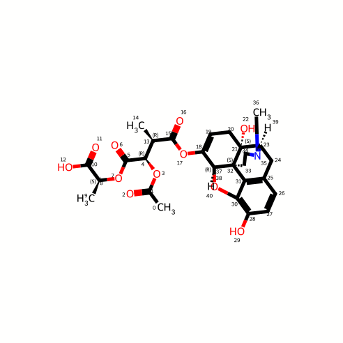 CC(=O)O[C@@H](C(=O)O[C@@H](C)C(=O)O)[C@@H](C)C(=O)OC1=CC[C@@]2(O)[C@H]3Cc4ccc(O)c5c4[C@@]2(CCN3C)[C@H]1O5